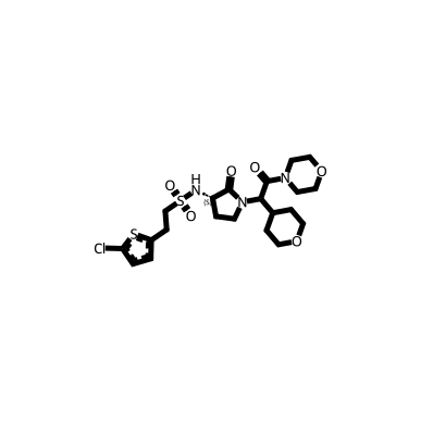 O=C(C(C1CCOCC1)N1CC[C@H](NS(=O)(=O)CCc2ccc(Cl)s2)C1=O)N1CCOCC1